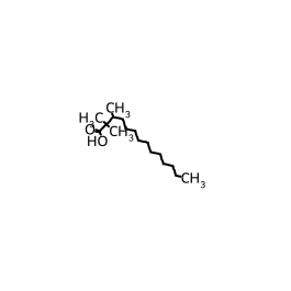 CCCCCCCCCCCC(C)C(C)(C)C(=O)O